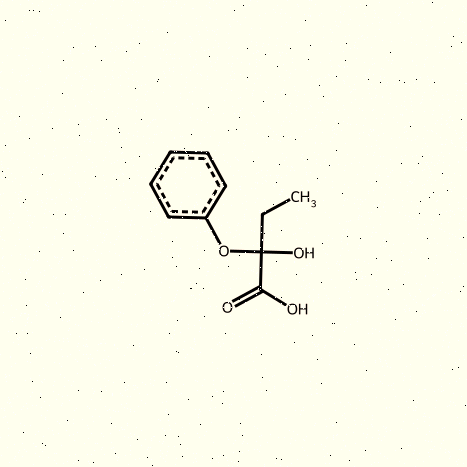 CCC(O)(Oc1ccccc1)C(=O)O